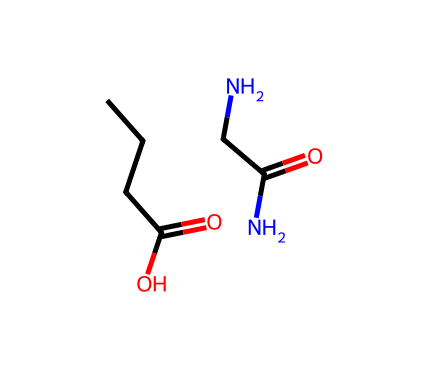 CCCC(=O)O.NCC(N)=O